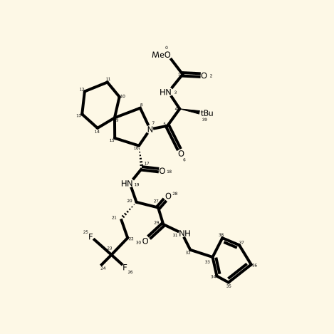 COC(=O)N[C@H](C(=O)N1CC2(CCCCC2)C[C@H]1C(=O)N[C@@H](CCC(C)(F)F)C(=O)C(=O)NCc1ccccc1)C(C)(C)C